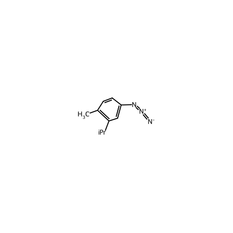 Cc1ccc(N=[N+]=[N-])cc1C(C)C